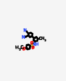 COc1ccc(S(=O)(=O)Nc2cc(C)cc(-c3ccc(C#N)c(C#N)c3)c2)cc1